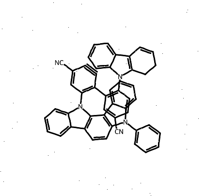 N#Cc1c#cc(-c2cc(C#N)ccc2-n2c3c(c4ccccc42)C=CCC3)c(-n2c3ccccc3c3ccc4c(c5ccccc5n4-c4ccccc4)c32)c1